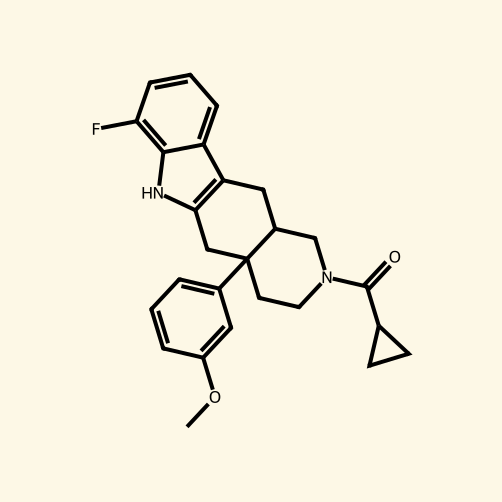 COc1cccc(C23CCN(C(=O)C4CC4)CC2Cc2c([nH]c4c(F)cccc24)C3)c1